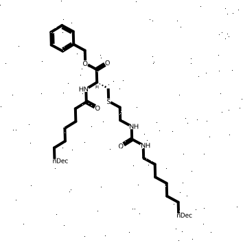 CCCCCCCCCCCCCCCCNC(=O)NCCSC[C@H](NC(=O)CCCCCCCCCCCCCCC)C(=O)OCc1ccccc1